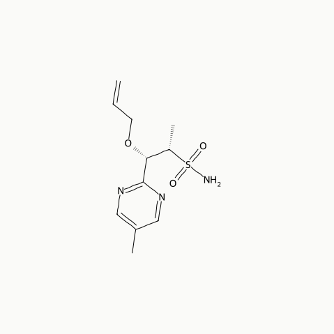 C=CCO[C@@H](c1ncc(C)cn1)[C@H](C)S(N)(=O)=O